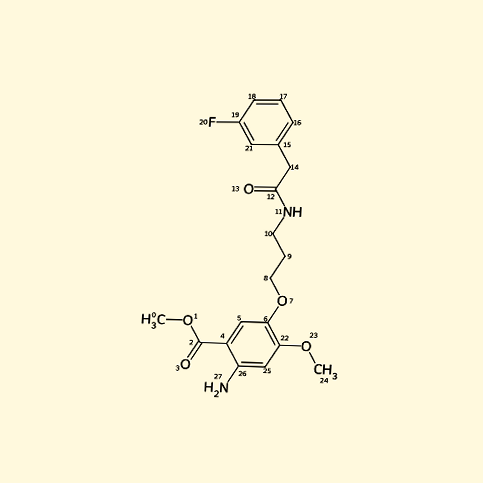 COC(=O)c1cc(OCCCNC(=O)Cc2cccc(F)c2)c(OC)cc1N